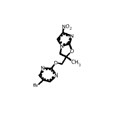 CC1(COc2ncc(Br)cn2)Cn2cc([N+](=O)[O-])nc2O1